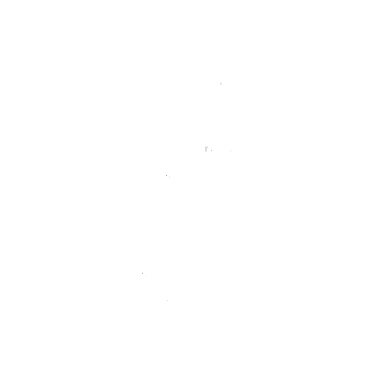 Cc1onc(-c2c(Cl)cccc2Cl)c1COc1ccc(NC(=O)c2cccc(C(=O)O)c2)cn1